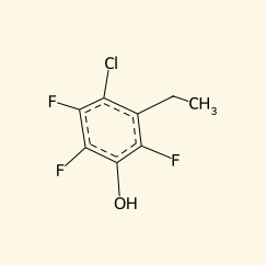 CCc1c(F)c(O)c(F)c(F)c1Cl